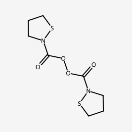 O=C(OOC(=O)N1CCCS1)N1CCCS1